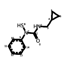 O=C(NCC1CC1)N(S)c1ccccc1